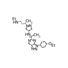 CCNCCC(C)n1cc(N[C@@H](C)c2ncc3nnn(-c4ccc(OCC)cc4)c3n2)cn1